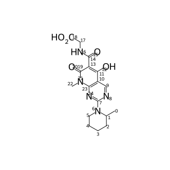 CC1CCCCN1c1ncc2c(O)c(C(=O)NCC(=O)O)c(=O)n(C)c2n1